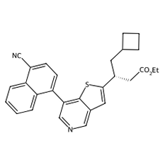 CCOC(=O)C[C@@H](CC1CCC1)c1cc2cncc(-c3ccc(C#N)c4ccccc34)c2s1